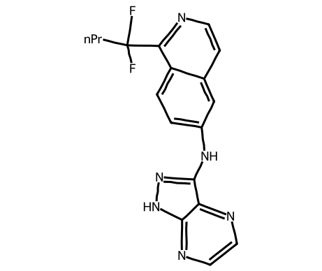 CCCC(F)(F)c1nccc2cc(Nc3n[nH]c4nccnc34)ccc12